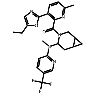 CCc1cnc(-c2ccc(C)nc2C(=O)N2CC3CC3CC2N(C)c2ccc(C(F)(F)F)cn2)o1